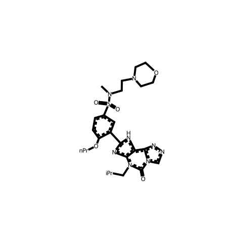 CCCOc1ccc(S(=O)(=O)N(C)CCN2CCOCC2)cc1-c1nc2c([nH]1)c1nncn1c(=O)n2CC(C)C